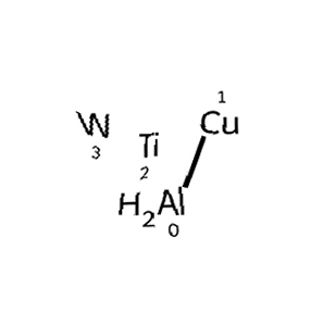 [AlH2][Cu].[Ti].[W]